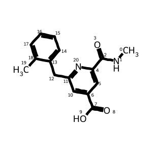 CNC(=O)c1cc(C(=O)O)cc(Cc2ccccc2C)n1